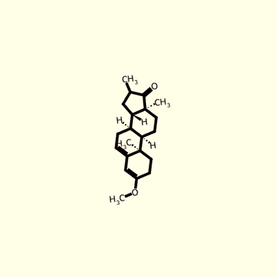 COC1=CC2=CC[C@@H]3[C@@H](CC[C@]4(C)C(=O)C(C)C[C@@H]34)[C@@]2(C)CC1